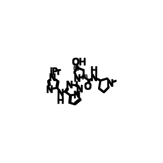 CC(C)n1cnc(Nc2nc(N3C[C@@H](O)C[C@H]3C(=O)NC3CCCN(C)C3)nn3cccc23)c1